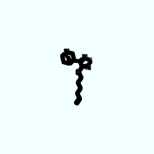 C=CCCCCOc1nsnc1C1CN2CCC1CC2